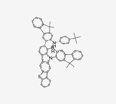 CC(C)(C)c1ccc(Nc2cc3c(cc2-c2ccc4c5cc6sc7ccccc7c6cc5n5c4c2Bc2cc4c(cc2-5)C(C)(C)c2ccccc2-4)-c2ccccc2C3(C)C)cc1